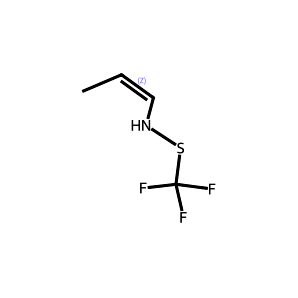 C/C=C\NSC(F)(F)F